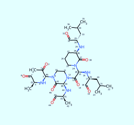 CC(=O)[C@H](N[C@@H](C)C=O)N1CCN(C(=O)[C@H](N[C@H](C=O)CC(C)C)N2CCC[C@@H](N[C@H](C=O)CC(C)C)C2=O)[C@@H](N[C@@H](C)C=O)C1=O